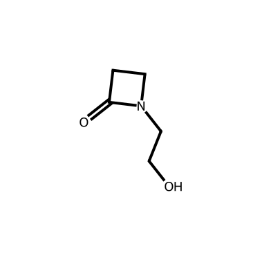 O=C1CCN1CCO